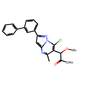 COC(=O)C(OC(C)(C)C)c1c(C)nc2cc(-c3cccc(-c4ccccc4)c3)nn2c1Cl